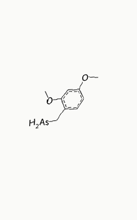 COc1ccc(C[AsH2])c(OC)c1